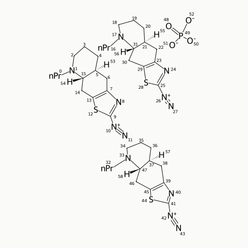 CCCN1CCC[C@H]2Cc3nc([N+]#N)sc3C[C@@H]21.CCCN1CCC[C@H]2Cc3nc([N+]#N)sc3C[C@@H]21.CCCN1CCC[C@H]2Cc3nc([N+]#N)sc3C[C@@H]21.O=P([O-])([O-])[O-]